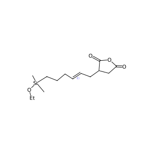 CCO[Si](C)(C)CCC/C=C/CC1CC(=O)OC1=O